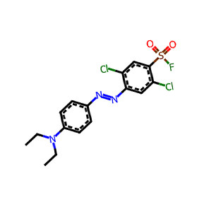 CCN(CC)c1ccc(N=Nc2cc(Cl)c(S(=O)(=O)F)cc2Cl)cc1